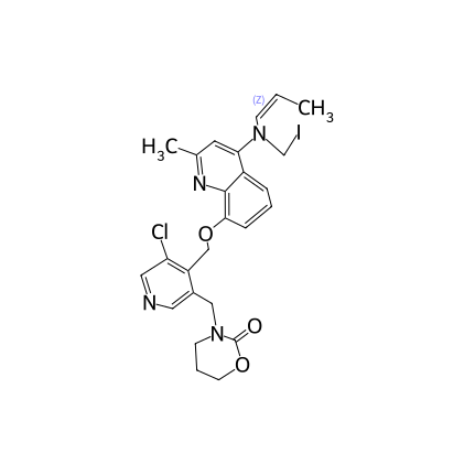 C/C=C\N(CI)c1cc(C)nc2c(OCc3c(Cl)cncc3CN3CCCOC3=O)cccc12